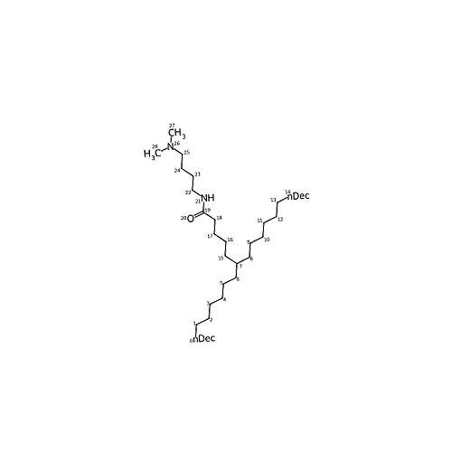 CCCCCCCCCCCCCCCCC(CCCCCCCCCCCCCCCC)CCCCC(=O)NCCCCN(C)C